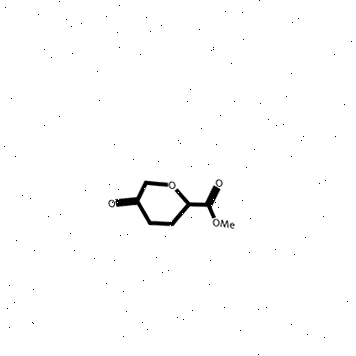 COC(=O)C1CCC(=O)CO1